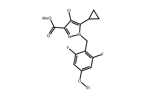 CCOc1cc(F)c(Cn2nc(C(=O)OC)c(Cl)c2C2CC2)c(F)c1